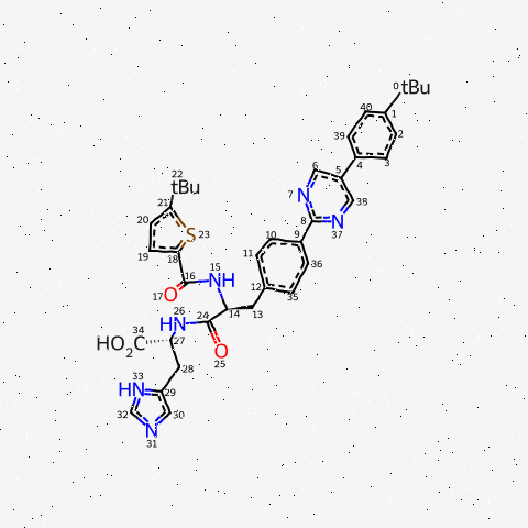 CC(C)(C)c1ccc(-c2cnc(-c3ccc(C[C@H](NC(=O)c4ccc(C(C)(C)C)s4)C(=O)N[C@H](Cc4cnc[nH]4)C(=O)O)cc3)nc2)cc1